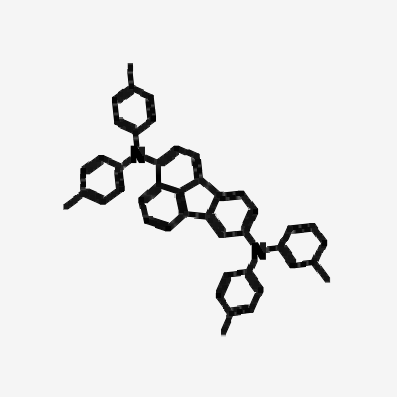 Cc1ccc(N(C2=CC(C)CC=C2)c2ccc3c(c2)-c2cccc4c(N(c5ccc(C)cc5)c5ccc(C)cc5)ccc-3c24)cc1